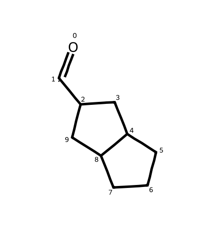 O=[C]C1CC2CCCC2C1